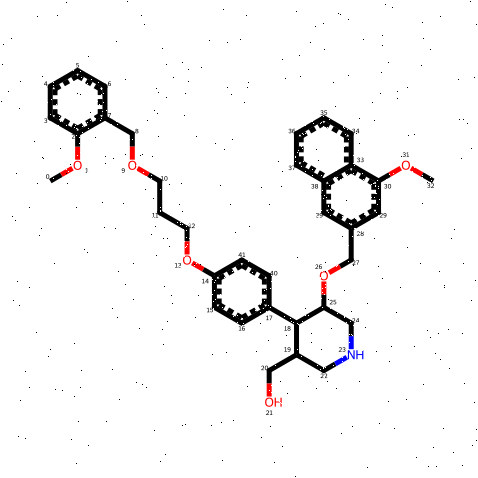 COc1ccccc1COCCCOc1ccc(C2C(CO)CNCC2OCc2cc(OC)c3ccccc3c2)cc1